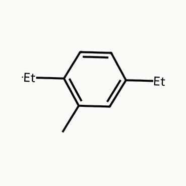 C[CH]c1ccc(CC)cc1C